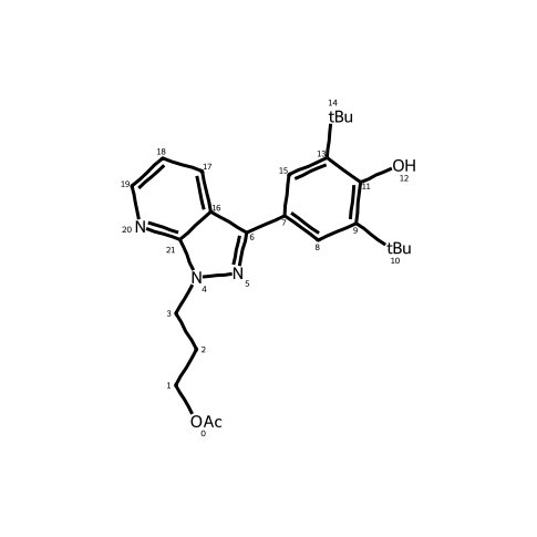 CC(=O)OCCCn1nc(-c2cc(C(C)(C)C)c(O)c(C(C)(C)C)c2)c2cccnc21